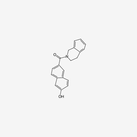 O=C(c1ccc2cc(O)ccc2c1)N1CCc2ccccc2C1